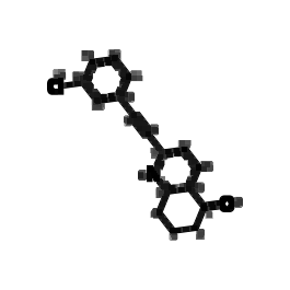 O=C1CCCc2nc(C#Cc3cccc(Cl)c3)ccc21